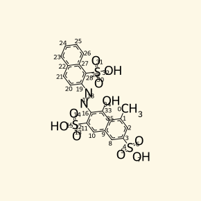 Cc1cc(S(=O)(=O)O)cc2cc(S(=O)(=O)O)c(N=Nc3ccc4ccccc4c3S(=O)(=O)O)c(O)c12